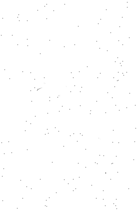 C[C@H]1CCCC(C)(C)[C@@H]1C(O)c1ccc(C#N)c(Cl)c1